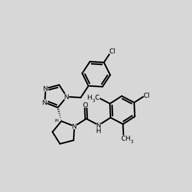 Cc1cc(Cl)cc(C)c1NC(=O)N1CCC[C@@H]1c1nncn1Cc1ccc(Cl)cc1